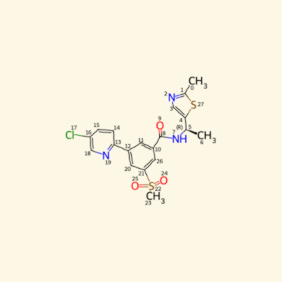 Cc1ncc([C@@H](C)NC(=O)c2cc(-c3ccc(Cl)cn3)cc(S(C)(=O)=O)c2)s1